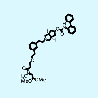 COC(CN(C)C(=O)CCOCCc1cccc(CCN2C[C@H]3CC(OC(=O)Nc4ccccc4-c4ccccc4)C[C@H]3C2)c1)OC